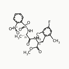 COC(=O)[C@H](Cc1c(C)cc(F)cc1C)NC(=O)[C@H](C)NS(=O)(=O)c1ccccc1[N+](=O)[O-]